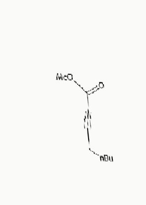 [CH2]CCCCC#CC(=O)OC